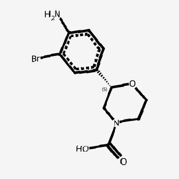 Nc1ccc([C@H]2CN(C(=O)O)CCO2)cc1Br